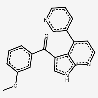 COc1cccc(C(=O)c2c[nH]c3nccc(-c4cccnc4)c23)c1